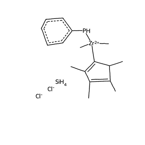 CC1=C(C)C(C)[C]([Zr+2]([CH3])([CH3])[PH]c2ccccc2)=C1C.[Cl-].[Cl-].[SiH4]